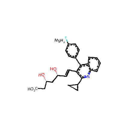 O=C(O)C[C@H](O)C[C@H](O)/C=C/c1c(C2CC2)nc2ccccc2c1-c1ccc(F)cc1.[MgH2]